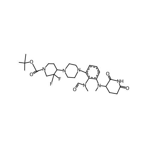 CN(C=O)c1c(N2CCN(C3CCN(C(=O)OC(C)(C)C)CC3(F)F)CC2)cccc1N(C)C1CCC(=O)NC1=O